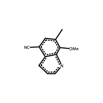 COc1c(C)cc(C#N)c2cccnc12